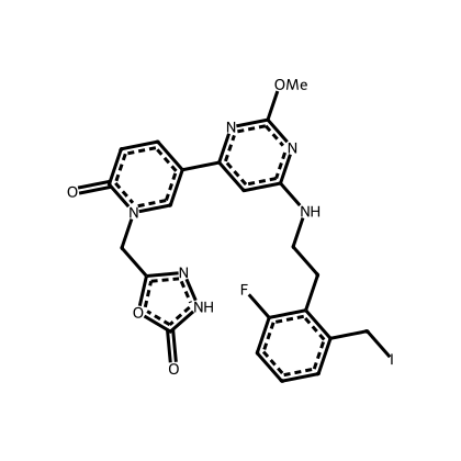 COc1nc(NCCc2c(F)cccc2CI)cc(-c2ccc(=O)n(Cc3n[nH]c(=O)o3)c2)n1